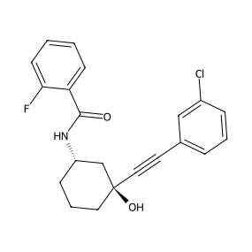 O=C(N[C@H]1CCC[C@@](O)(C#Cc2cccc(Cl)c2)C1)c1ccccc1F